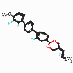 C/C=C/C1COC(c2ccc(-c3ccc(-c4ccc(OC)c(F)c4F)cc3)c(F)c2)OC1